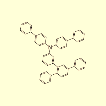 c1ccc(-c2ccc(N(c3ccc(-c4ccccc4)cc3)c3cccc(-c4cc(-c5ccccc5)ccc4-c4ccccc4)c3)cc2)cc1